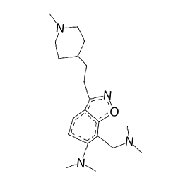 CN(C)Cc1c(N(C)C)ccc2c(CCC3CCN(C)CC3)noc12